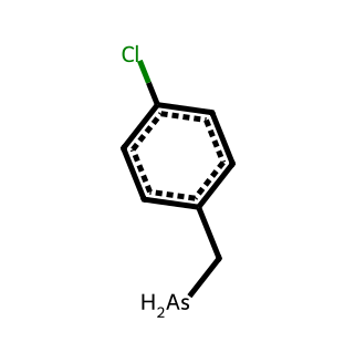 Clc1ccc(C[AsH2])cc1